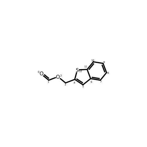 O=COCc1cc2ccccc2s1